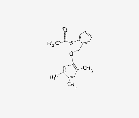 CC(=O)Sc1ccccc1COc1cc(C)c(C)cc1C